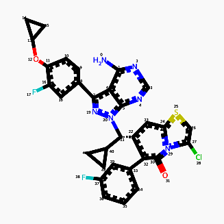 Nc1ncnc2c1c(-c1ccc(OC3CC3)c(F)c1)nn2[C@H](c1cc2scc(Cl)n2c(=O)c1-c1cccc(F)c1)C1CC1